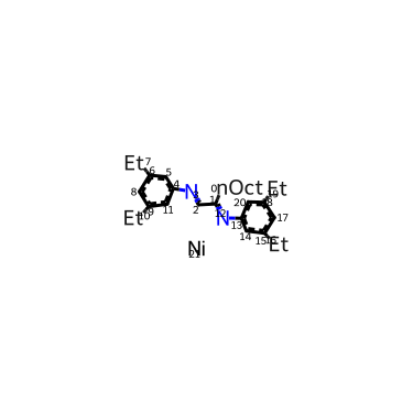 CCCCCCCCC(/C=N/c1cc(CC)cc(CC)c1)=N\c1cc(CC)cc(CC)c1.[Ni]